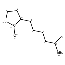 CCCCC(C)CCCCC1CCS[S+]1[O-]